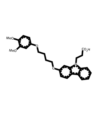 COc1ccc(OCCCCOc2ccc3c4ccccc4n(CCC(=O)O)c3c2)cc1OC